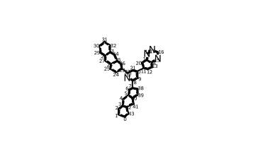 c1ccc2cc3cc(-c4cc(-c5ccc6ncnnc6c5)cc(-c5ccc6cc7ccccc7cc6c5)n4)ccc3cc2c1